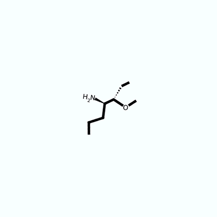 CCC[C@@H](N)[C@H](CC)OC